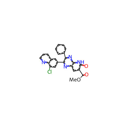 COC(=O)c1cc2nc(-c3cc(Cl)c4ncccc4c3)c(-c3ccccc3)nc2[nH]c1=O